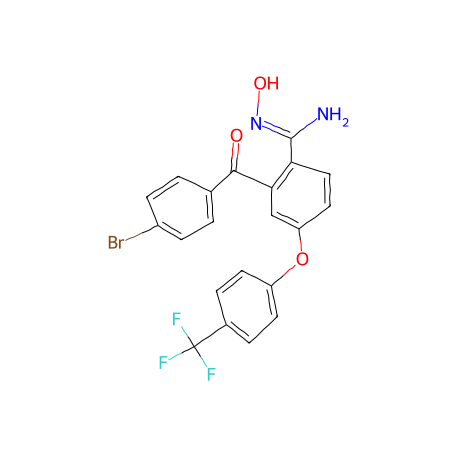 N/C(=N\O)c1ccc(Oc2ccc(C(F)(F)F)cc2)cc1C(=O)c1ccc(Br)cc1